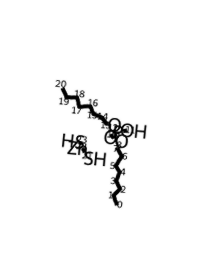 CCCCCCCCOP(=O)(O)OCCCCCCCC.[SH][Zn][SH]